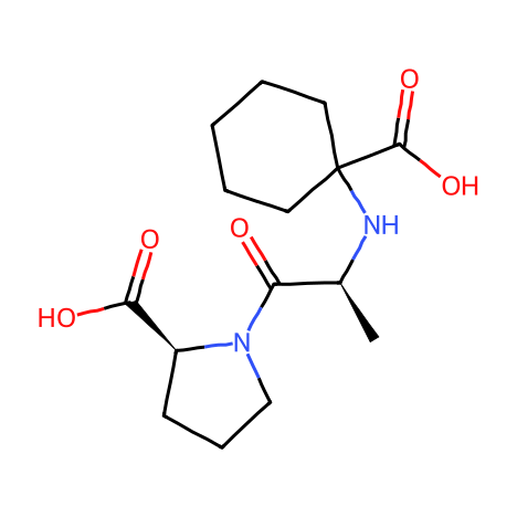 C[C@H](NC1(C(=O)O)CCCCC1)C(=O)N1CCC[C@H]1C(=O)O